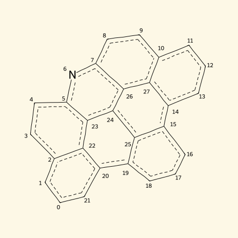 c1cc2ccc3nc4ccc5cccc6c7cccc8c(c1)c2c3c(c87)c4c56